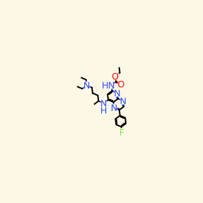 CCOC(=O)Nc1cc(NC(C)CCCN(CC)CC)c2nc(-c3ccc(F)cc3)cnc2n1